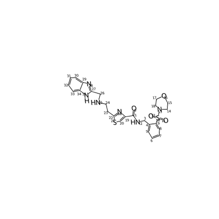 O=C(NCc1ccccc1S(=O)(=O)N1CCOCC1)c1csc(CCNCc2nc3ccccc3[nH]2)n1